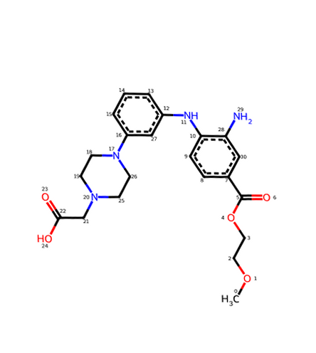 COCCOC(=O)c1ccc(Nc2cccc(N3CCN(CC(=O)O)CC3)c2)c(N)c1